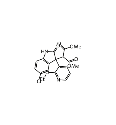 CCOc1ncccc1C1(C(C(=O)OC)C(=O)OC)C(=O)Nc2ccc(Cl)cc21